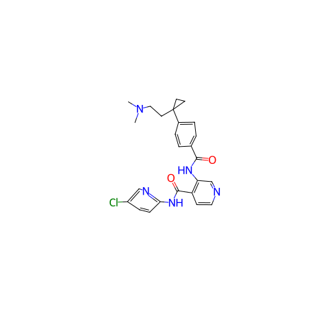 CN(C)CCC1(c2ccc(C(=O)Nc3cnccc3C(=O)Nc3ccc(Cl)cn3)cc2)CC1